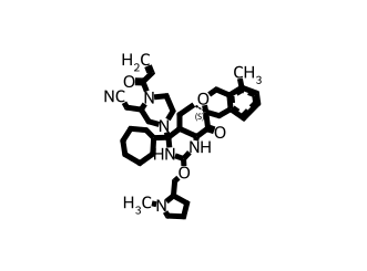 C=CC(=O)N1CCN(C2(C3CCCCCC3)NC(OCC3CCCN3C)NC3C(=O)[C@]4(CCC32)Cc2cccc(C)c2CO4)CC1CC#N